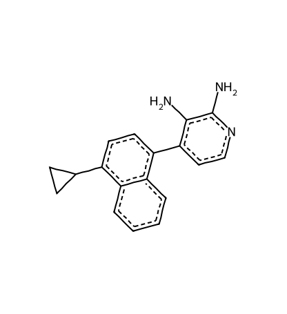 Nc1nccc(-c2ccc(C3CC3)c3ccccc23)c1N